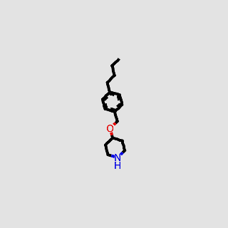 CCCCc1ccc(COC2CCNCC2)cc1